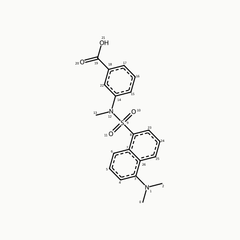 CN(C)c1cccc2c(S(=O)(=O)N(C)c3cccc(C(=O)O)c3)cccc12